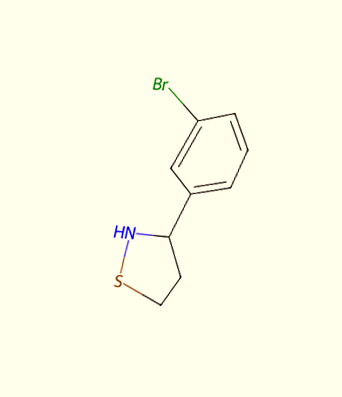 Brc1cccc(C2CCSN2)c1